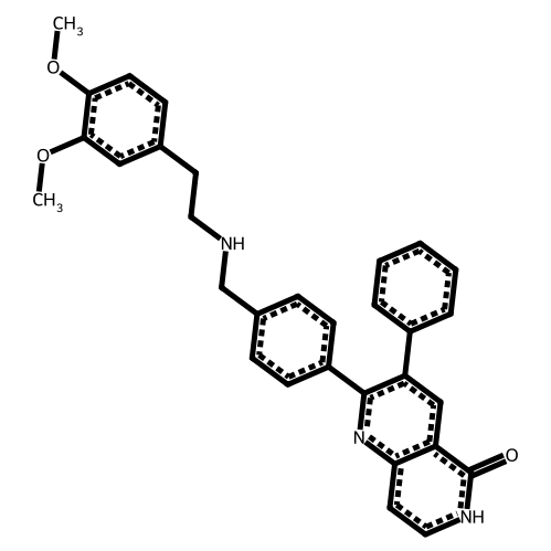 COc1ccc(CCNCc2ccc(-c3nc4cc[nH]c(=O)c4cc3-c3ccccc3)cc2)cc1OC